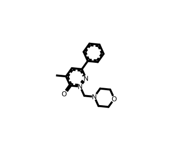 Cc1cc(-c2ccccc2)nn(CN2CCOCC2)c1=O